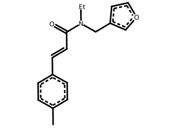 CCN(Cc1ccoc1)C(=O)C=Cc1ccc(C)cc1